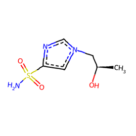 C[C@@H](O)Cn1cnc(S(N)(=O)=O)c1